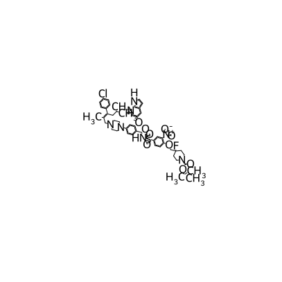 CC(CN1CCN(c2ccc(C(=O)NS(=O)(=O)c3ccc(OCC4(F)CCN(C(=O)OC(C)(C)C)CC4)c([N+](=O)[O-])c3)c(Oc3cnc4[nH]ccc4c3)c2)CC1)=C(CC(C)C)c1ccc(Cl)cc1